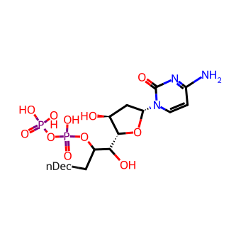 CCCCCCCCCCCC(OP(=O)(O)OP(=O)(O)O)C(O)[C@H]1O[C@@H](n2ccc(N)nc2=O)C[C@@H]1O